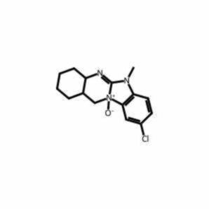 CN1C2=NC3CCCCC3C[N+]2([O-])c2cc(Cl)ccc21